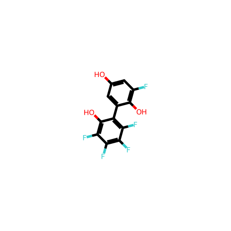 Oc1cc(F)c(O)c(-c2c(O)c(F)c(F)c(F)c2F)c1